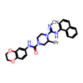 CC(C)C1CN(C(=O)Nc2ccc3c(c2)OCCO3)CCN1/C(=N/C#N)Nc1cccc2ccccc12